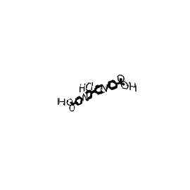 Cl.O=C(O)c1ccc(N2C=CC(=C3C=CN(c4ccc(C(=O)O)cc4)C=C3)C=C2)cc1